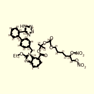 CCOc1nc2cccc(C(=O)OC(C)(C)OC(=O)OCCCCC(CO[N+](=O)[O-])O[N+](=O)[O-])c2n1Cc1ccc(-c2ccccc2-c2nnn[nH]2)cc1